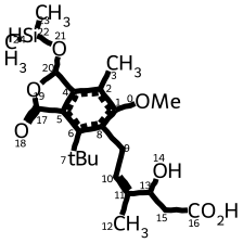 COc1c(C)c2c(c(C(C)(C)C)c1CC=C(C)C(O)CC(=O)O)C(=O)OC2O[SiH](C)C